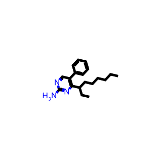 CCCCCCC(CC)c1nc(N)ncc1-c1ccccc1